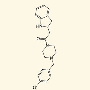 O=C(CC1Cc2ccccc2N1)N1CCN(Cc2ccc(Cl)cc2)CC1